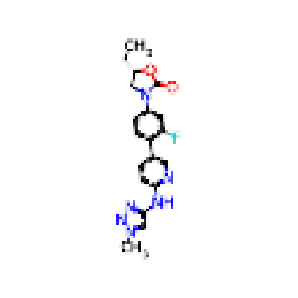 CC[C@H]1CN(c2ccc(-c3ccc(Nc4cn(C)nn4)nc3)c(F)c2)C(=O)O1